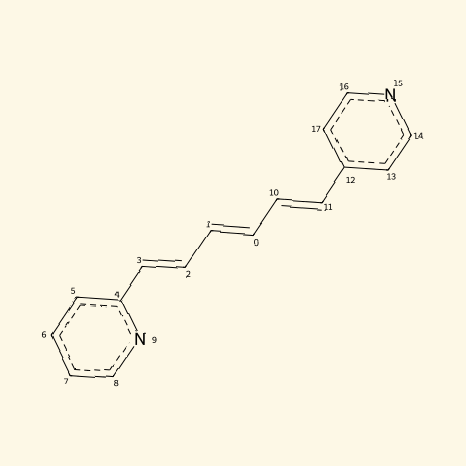 C(=CC=Cc1ccccn1)C=Cc1ccncc1